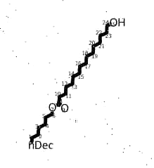 CCCCCCCCCCCCCCCCOC(=O)CCCCCCCCCCCCCCCO